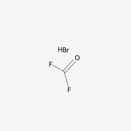 Br.O=C(F)F